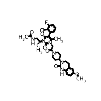 COc1ccc2c(c1)CCN(C1CCN(C(=O)Cn3c(C)c(-c4cccc(F)c4Cl)c(=O)n([C@@H](C)CNC(C)=O)c3=O)CC1)C(=O)N2